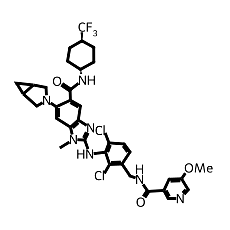 COc1cncc(C(=O)NCc2ccc(Cl)c(Nc3nc4cc(C(=O)N[C@H]5CC[C@H](C(F)(F)F)CC5)c(N5CC6CC6C5)cc4n3C)c2Cl)c1